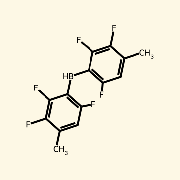 Cc1cc(F)c(Bc2c(F)cc(C)c(F)c2F)c(F)c1F